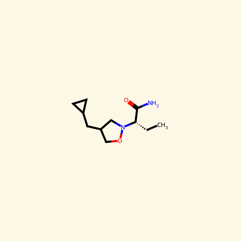 CC[C@@H](C(N)=O)N1CC(CC2CC2)CO1